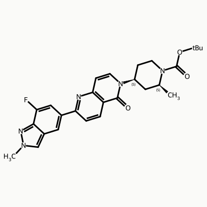 C[C@H]1C[C@@H](n2ccc3nc(-c4cc(F)c5nn(C)cc5c4)ccc3c2=O)CCN1C(=O)OC(C)(C)C